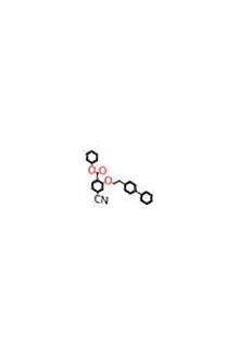 N#Cc1ccc(C(=O)Oc2ccccc2)c(OCCc2ccc(-c3ccccc3)cc2)c1